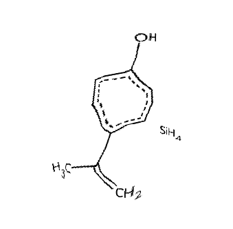 C=C(C)c1ccc(O)cc1.[SiH4]